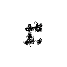 CC(C)C(NC(=O)CCCCCN1C(=O)C=CC1=O)C(=O)NC(CCCNC(N)=O)C(=O)Nc1ccc(COc2cc3c(c4ccccc24)[C@H](CCl)CN3C(=O)CCCC(=O)N2C[C@@H](CCl)c3c2cc(OP(=O)(O)O)c2ccccc32)cc1